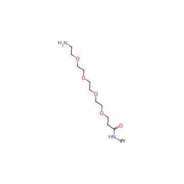 CC(C)NC(=O)CCOCCOCCOCCOCCN